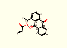 C=CC(=O)OC(C)c1cccc2c1C(=O)c1ccccc1C2=O